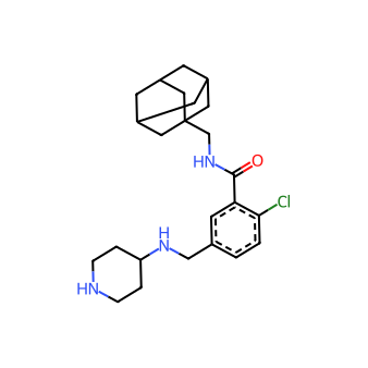 O=C(NCC12CC3CC(CC(C3)C1)C2)c1cc(CNC2CCNCC2)ccc1Cl